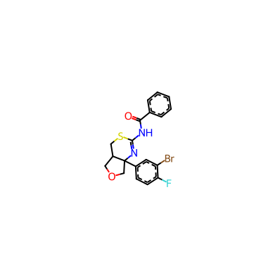 O=C(NC1=NC2(c3ccc(F)c(Br)c3)COCC2CS1)c1ccccc1